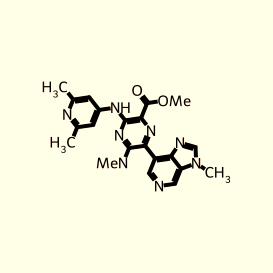 CNc1nc(Nc2cc(C)nc(C)c2)c(C(=O)OC)nc1-c1cncc2c1ncn2C